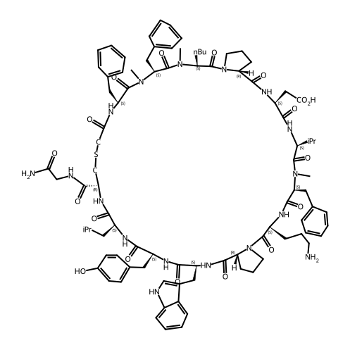 CCCC[C@H]1C(=O)N2CCC[C@@H]2C(=O)N[C@@H](CC(=O)O)C(=O)N[C@@H](C(C)C)C(=O)N(C)[C@@H](Cc2ccccc2)C(=O)N[C@@H](CCCN)C(=O)N2CCC[C@@H]2C(=O)N[C@@H](Cc2c[nH]c3ccccc23)C(=O)N[C@@H](Cc2ccc(O)cc2)C(=O)N[C@@H](CC(C)C)C(=O)N[C@H](C(=O)NCC(N)=O)CSCC(=O)N[C@@H](Cc2ccccc2)C(=O)N(C)[C@@H](Cc2ccccc2)C(=O)N1C